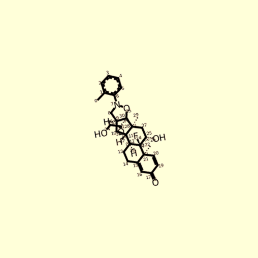 Cc1ccccc1N1C[C@@H]2C[C@H]3[C@@H]4CCC5=CC(=O)C=C[C@]5(C)[C@@]4(F)[C@@H](O)C[C@]3(C)[C@]2(C(=O)CO)O1